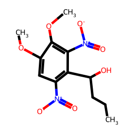 CCCC(O)c1c([N+](=O)[O-])cc(OC)c(OC)c1[N+](=O)[O-]